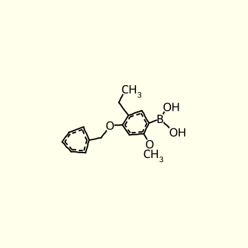 CCc1cc(B(O)O)c(OC)cc1OCc1ccccc1